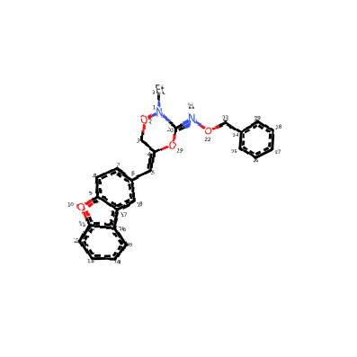 CCN1OC/C(=C\c2ccc3oc4ccccc4c3c2)OC1=NOCc1ccccc1